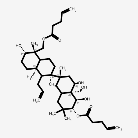 C=CCCC(=O)OC[C@]1(C)C2CC[C@@](C)([C@@]3(C)CC4CC(C)(C)[C@@H](OC(=O)CCC=C)[C@H](O)[C@]4(CO)[C@H](O)C3)C(CC=C)[C@@]2(C)CC[C@@H]1O